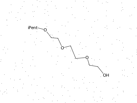 CCCC(C)OCCOCCOCCO